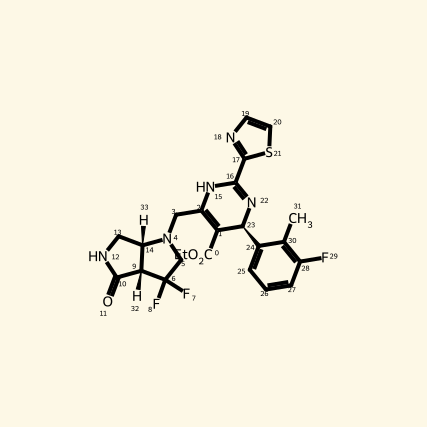 CCOC(=O)C1=C(CN2CC(F)(F)[C@@H]3C(=O)NC[C@@H]32)NC(c2nccs2)=N[C@H]1c1cccc(F)c1C